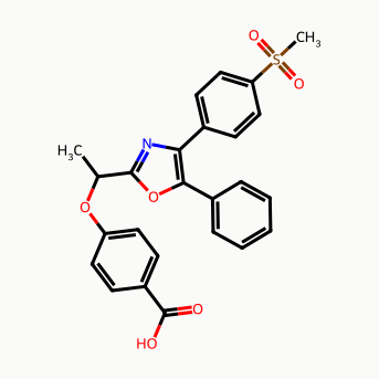 CC(Oc1ccc(C(=O)O)cc1)c1nc(-c2ccc(S(C)(=O)=O)cc2)c(-c2ccccc2)o1